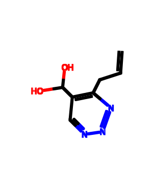 C=CCc1nnncc1C(O)O